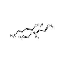 C=CC#N.C=CC=C.CC=CC=CC(=O)O